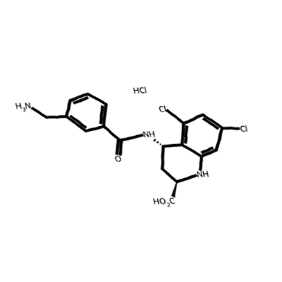 Cl.NCc1cccc(C(=O)N[C@H]2C[C@H](C(=O)O)Nc3cc(Cl)cc(Cl)c32)c1